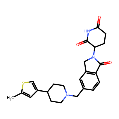 Cc1cc(C2CCN(Cc3ccc4c(c3)CN(C3CCC(=O)NC3=O)C4=O)CC2)cs1